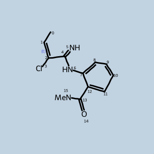 C/C=C(/Cl)C(=N)Nc1ccccc1C(=O)NC